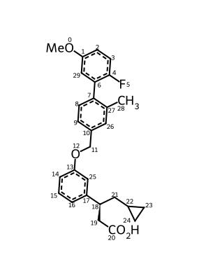 COc1ccc(F)c(-c2ccc(COc3cccc([C@H](CC(=O)O)CC4CC4)c3)cc2C)c1